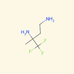 CC(N)(CCN)C(F)(F)F